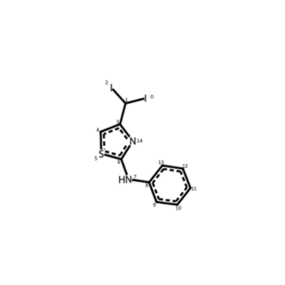 IC(I)c1csc(Nc2ccccc2)n1